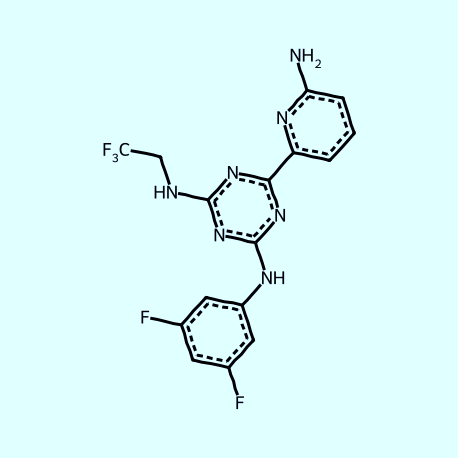 Nc1cccc(-c2nc(NCC(F)(F)F)nc(Nc3cc(F)cc(F)c3)n2)n1